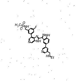 CCNCc1cncc(-c2ccc3[nH]nc(-c4nc5c(-c6cc(F)cc(CNS(C)(=O)=O)c6)cncc5[nH]4)c3c2)c1